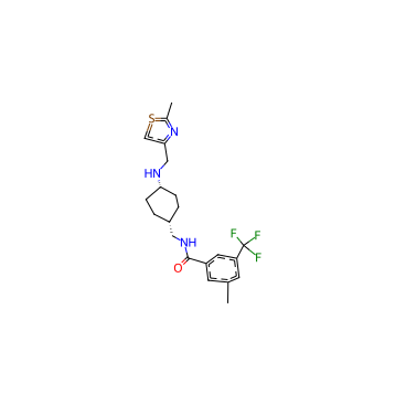 Cc1cc(C(=O)NC[C@H]2CC[C@@H](NCc3csc(C)n3)CC2)cc(C(F)(F)F)c1